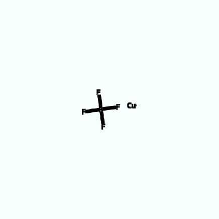 F[B-](F)(F)F.[Cu]